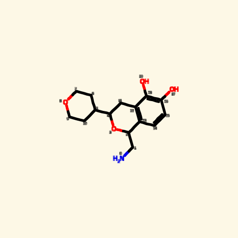 NCC1OC(C2CCOCC2)Cc2c1ccc(O)c2O